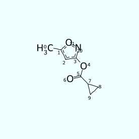 Cc1cc(OC(=O)C2CC2)no1